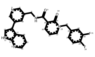 O=C(NCc1cncc(-c2c[nH]c3ncccc23)c1)c1cccn(Cc2ccc(F)c(F)c2)c1=O